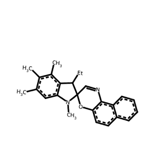 CCC1c2c(cc(C)c(C)c2C)N(C)C12C=Nc1c(ccc3ccccc13)O2